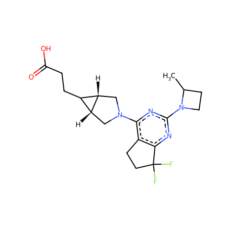 CC1CCN1c1nc(N2C[C@@H]3C(CCC(=O)O)[C@@H]3C2)c2c(n1)C(F)(F)CC2